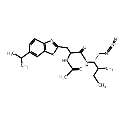 CC[C@H](C)[C@@H](CN=[N+]=[N-])NC(=O)C(Cc1nc2ccc(C(C)C)cc2s1)NC(C)=O